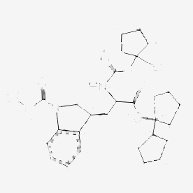 CCC1(OC(=O)NC(CC2CN(C(=O)OC(C)(C)C)c3ccccc32)C(=O)OC2(C3CCCC3)CCCC2)CCCC1